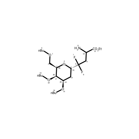 CCCCOC[C@H]1O[C@H](C(F)(F)CC(N)C(=O)OCC)C[C@@H](OCCCC)[C@H]1OCCCC